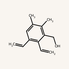 C=Cc1cc(C)c(C)c(CO)c1C=C